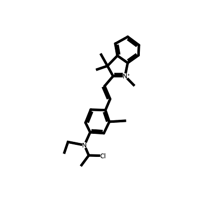 CCN(c1ccc(/C=C/C2=[N+](C)c3ccccc3C2(C)C)c(C)c1)C(C)Cl